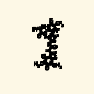 CC(C)[C@H](N)C(=O)OCn1c(-c2ccc(F)c(C(F)(F)F)c2F)cs/c1=N\C(=O)Cc1csc2c1c(=O)n(C)c(=O)n2C